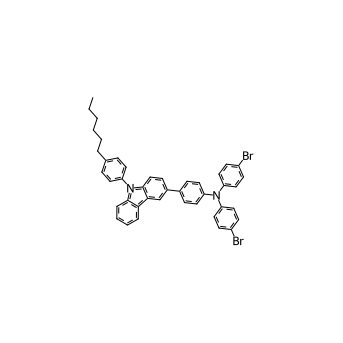 CCCCCCc1ccc(-n2c3ccccc3c3cc(-c4ccc(N(c5ccc(Br)cc5)c5ccc(Br)cc5)cc4)ccc32)cc1